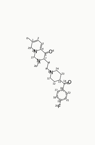 CC1=CC=C2C(=O)C(CCN3CCC(C(=O)c4ccc(F)cc4)CC3)N(C)CN2C1